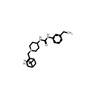 CCc1cccc(NC(=O)NC2CCN(CC3=CCC4CC3C4(C)C)CC2)c1